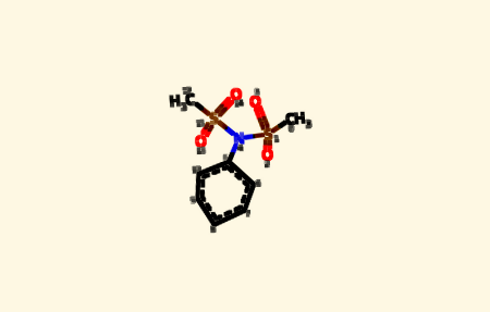 CS(=O)(=O)N(c1ccccc1)S(C)(=O)=O